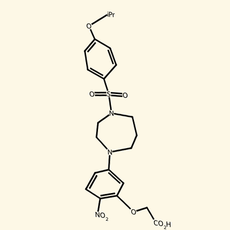 CC(C)Oc1ccc(S(=O)(=O)N2CCCN(c3ccc([N+](=O)[O-])c(OCC(=O)O)c3)CC2)cc1